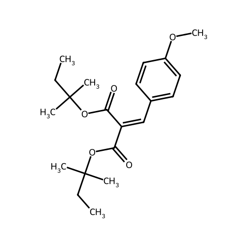 CCC(C)(C)OC(=O)C(=Cc1ccc(OC)cc1)C(=O)OC(C)(C)CC